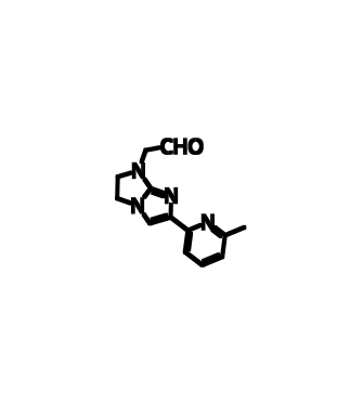 Cc1cccc(-c2cn3c(n2)N(CC=O)CC3)n1